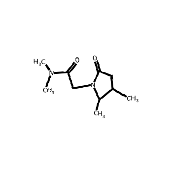 CC1CC(=O)N(CC(=O)N(C)C)C1C